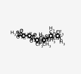 Cc1ccc(Oc2c(C)cc(C(C)(C)c3cc(C)c(Oc4ccc(N5C(=O)c6ccc(-c7ccc8c(c7)C(=O)N(C)C8=O)cc6C5=O)cc4C(F)(F)F)c(C)c3)cc2C)c(C(F)(F)F)c1